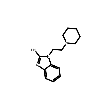 Nc1nc2ccccc2n1CCN1CCCCC1